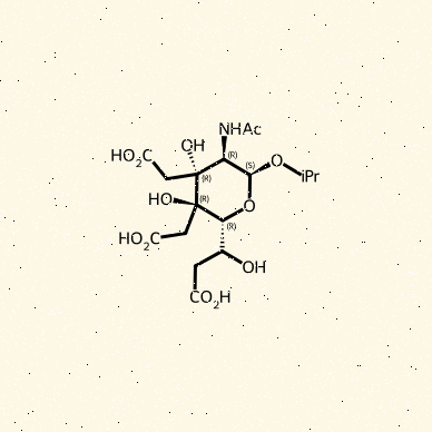 CC(=O)N[C@H]1[C@@H](OC(C)C)O[C@H](C(O)CC(=O)O)[C@](O)(CC(=O)O)[C@@]1(O)CC(=O)O